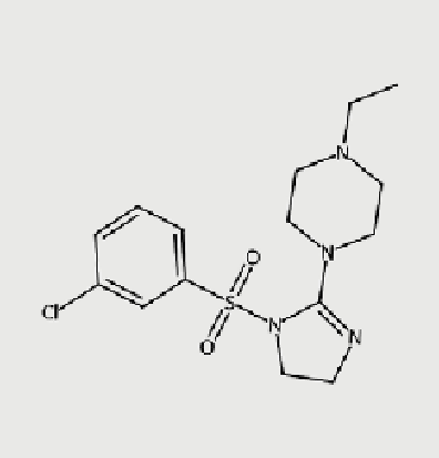 CCN1CCN(C2=NCCN2S(=O)(=O)c2cccc(Cl)c2)CC1